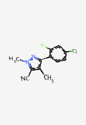 Cc1c(-c2ccc(Cl)cc2F)nn(C)c1C#N